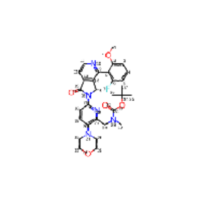 COc1cccc(F)c1-c1nccc2c1CN(c1ccc(N3CCOCC3)c(CN(C)C(=O)OC(C)(C)C)n1)C2=O